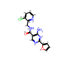 Nc1nc(-c2ccco2)ncc1C(=O)NCc1ncccc1Cl